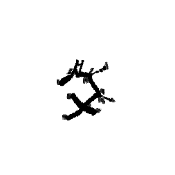 CN[C@H](C)[C@H](C)C(C)(C)C